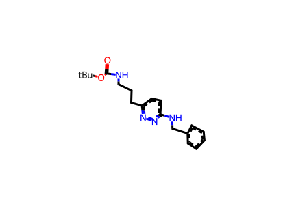 CC(C)(C)OC(=O)NCCCc1ccc(NCc2ccccc2)nn1